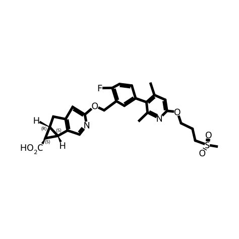 Cc1cc(OCCCS(C)(=O)=O)nc(C)c1-c1ccc(F)c(COc2cc3c(cn2)[C@H]2[C@@H](C3)[C@@H]2C(=O)O)c1